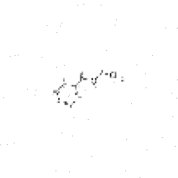 CCO[N]c1ccccc1